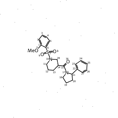 COc1ccccc1S(=O)(=O)N1CCCC(C(=O)N2CCCC2c2ccccc2)C1